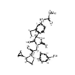 CNC(=O)Nc1ccc2c(c1)CC[C@@]21OC(=O)N(CC(=O)N2[C@H](c3ccc(F)cc3)CC[C@H]2C2CC2)C1=O